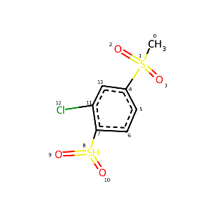 CS(=O)(=O)c1ccc([SH](=O)=O)c(Cl)c1